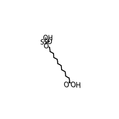 O=C(O)CCCCCCCCCCCOS(=O)(O)=S